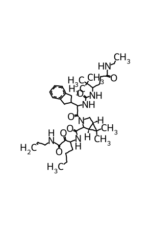 C=CCNC(=O)C(=O)C(CCCC)NC(=O)C1[C@@H]2[C@H](CN1C(=O)C(NC(=O)NC(CCC(=O)NCC)C(C)(C)C)C1Cc3ccccc3C1)C2(C)C